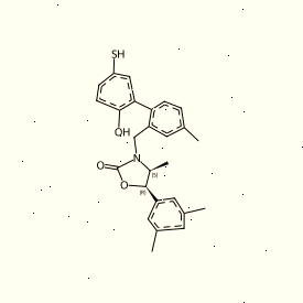 Cc1cc(C)cc([C@H]2OC(=O)N(Cc3cc(C)ccc3-c3cc(S)ccc3O)[C@H]2C)c1